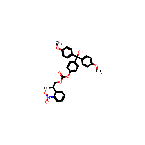 COc1ccc(C(O)(c2ccc(OC)cc2)c2ccc(OC(=O)OCC(C)c3ccccc3[N+](=O)[O-])cc2)cc1